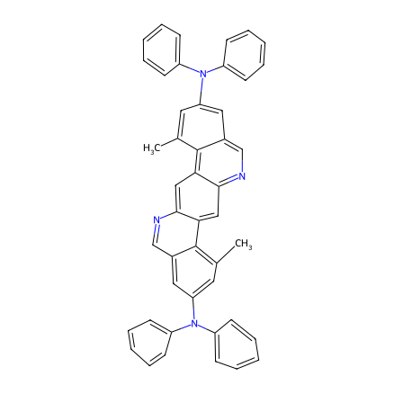 Cc1cc(N(c2ccccc2)c2ccccc2)cc2cnc3cc4c(cc3c12)ncc1cc(N(c2ccccc2)c2ccccc2)cc(C)c14